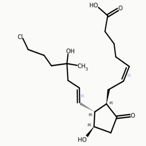 CC(O)(C/C=C/[C@H]1[C@H](O)CC(=O)[C@@H]1C/C=C\CCCC(=O)O)CCCCl